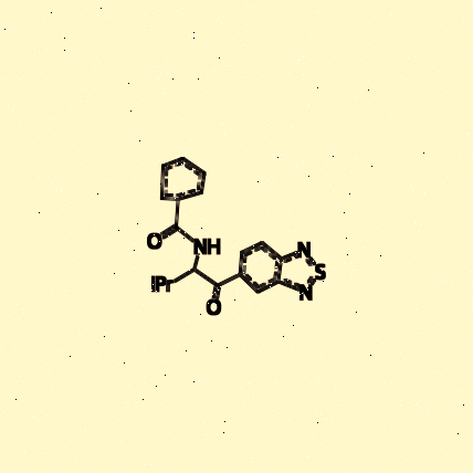 CC(C)C(NC(=O)c1ccccc1)C(=O)c1ccc2nsnc2c1